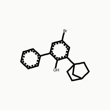 Oc1c(-c2ccccc2)cc(Br)cc1C12CCC(CC1)C2